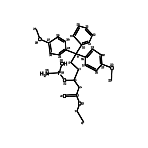 CCOC(=O)CC(CCC(c1ccccc1)(c1ccc(OC)cc1)c1ccc(OC)cc1)OP(N)O